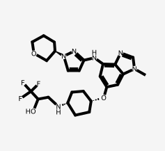 Cn1cnc2c(Nc3ccn([C@@H]4CCCOC4)n3)cc(O[C@H]3CC[C@@H](NCC(O)C(F)(F)F)CC3)cc21